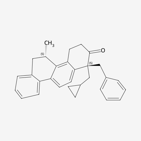 C[C@H]1Cc2ccccc2-c2ccc3c(c21)CCC(=O)[C@]3(Cc1ccccc1)CC1CC1